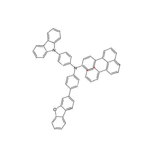 c1ccc(-c2cccc3cccc(-c4ccc(N(c5ccc(-c6ccc7c(c6)oc6ccccc67)cc5)c5ccc(-n6c7ccccc7c7ccccc76)cc5)cc4)c23)cc1